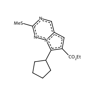 CCOC(=O)c1cc2cnc(SC)nn2c1C1CCCC1